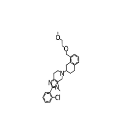 COCCOCc1cccc2c1CC(N1CCc3nc(-c4ccccc4Cl)n(C)c3C1)CC2